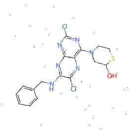 OC1CN(c2nc(Cl)nc3nc(NCc4ccccc4)c(Cl)nc23)CCS1